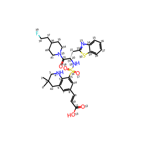 CC1(C)CNc2c(cc(C=CC(=O)O)cc2S(=O)(=O)N[C@@H](Cc2nc3ccccc3s2)C(=O)N2CCC(CCF)CC2)C1